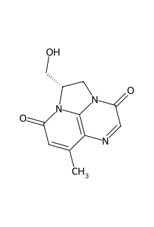 Cc1cc(=O)n2c3c1ncc(=O)n3C[C@H]2CO